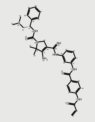 C=CC(=O)Nc1ccc(C(=O)Nc2cccc(NC(=N)C3=C(N)C(C)(C)N(C(=O)N[C@H](CN(C)C)c4ccccc4)C3)c2)cc1